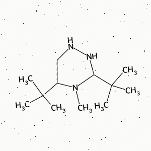 CN1C(C(C)(C)C)CNNC1C(C)(C)C